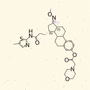 CO/N=C1\C[C@@H](CCC(=O)Nc2ncc(C)s2)C2C3CCc4cc(OC(=O)CN5CCOCC5)ccc4C3CC[C@]12C